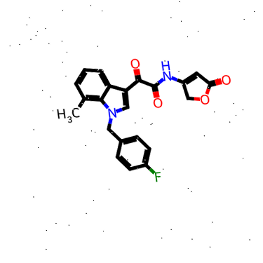 Cc1cccc2c(C(=O)C(=O)NC3=CC(=O)OC3)cn(Cc3ccc(F)cc3)c12